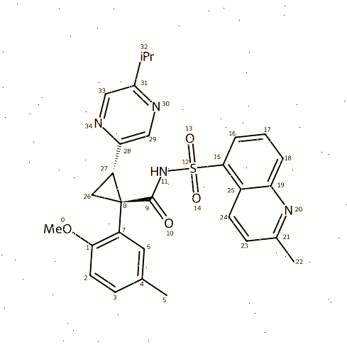 COc1ccc(C)cc1[C@]1(C(=O)NS(=O)(=O)c2cccc3nc(C)ccc23)C[C@@H]1c1cnc(C(C)C)cn1